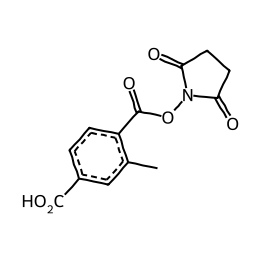 Cc1cc(C(=O)O)ccc1C(=O)ON1C(=O)CCC1=O